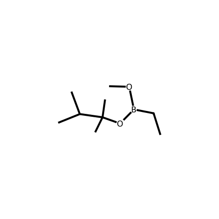 CCB(OC)OC(C)(C)C(C)C